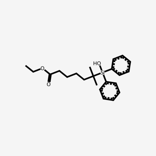 CCOC(=O)CCCCC(C)(C)[Si](O)(c1ccccc1)c1ccccc1